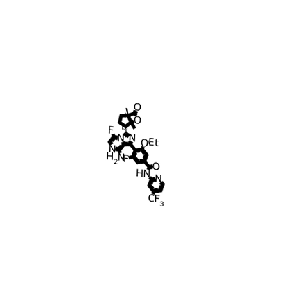 CCOc1cc(C(=O)Nc2cc(C(F)(F)F)ccn2)cc(F)c1-c1nc([C@@H]2CC[C@]3(C)C(=O)OC23C)n2c(F)cnc(N)c12